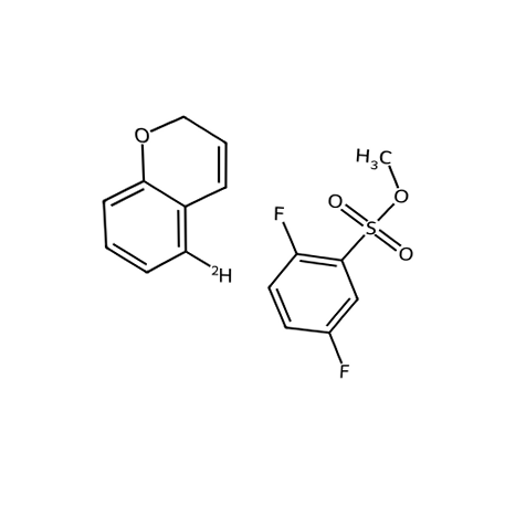 COS(=O)(=O)c1cc(F)ccc1F.[2H]c1cccc2c1C=CCO2